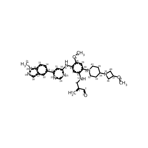 C=C(C=O)CNc1cc(Nc2cc(-c3ccc4c(cnn4C)c3)ncn2)c(OC)cc1N1CCC(N2CC(OC)C2)CC1